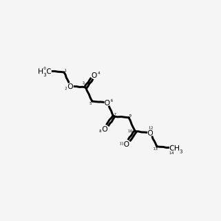 CCOC(=O)COC(=O)CC(=O)OCC